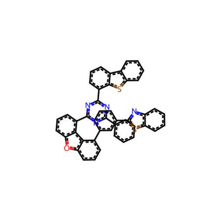 c1ccc(-c2nc(-c3cccc4c3sc3ccccc34)nc(-c3cccc4oc5cccc(-c6cccc(-c7nc8ccccc8s7)c6)c5c34)n2)cc1